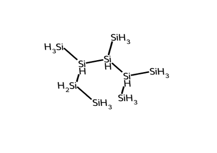 [SiH3][SiH2][SiH]([SiH3])[SiH]([SiH3])[SiH]([SiH3])[SiH3]